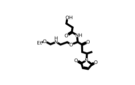 CCOCNCCOC(NC(=O)CCO)C(=O)CC(C)N1C(=O)C=CC1=O